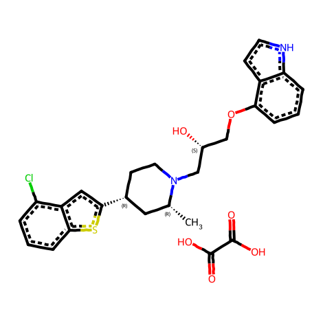 C[C@@H]1C[C@H](c2cc3c(Cl)cccc3s2)CCN1C[C@H](O)COc1cccc2[nH]ccc12.O=C(O)C(=O)O